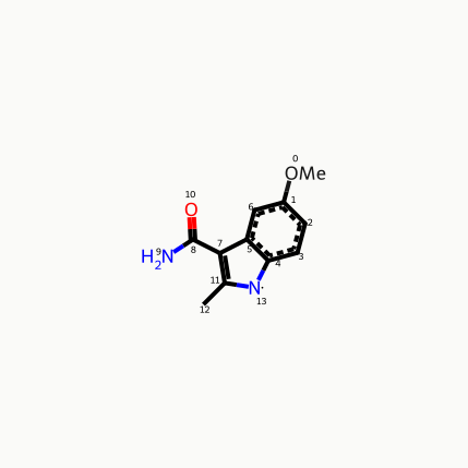 COc1ccc2c(c1)C(C(N)=O)=C(C)[N]2